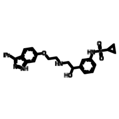 CC(C)c1n[nH]c2cc(OCCNCC(O)c3cccc(NS(=O)(=O)C4CC4)c3)ccc12